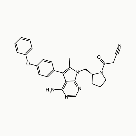 Cc1c(-c2ccc(Oc3ccccc3)cc2)c2c(N)ncnc2n1C[C@@H]1CCCN1C(=O)CC#N